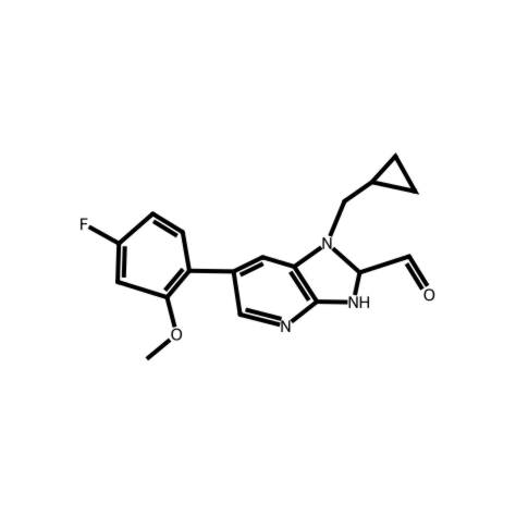 COc1cc(F)ccc1-c1cnc2c(c1)N(CC1CC1)C(C=O)N2